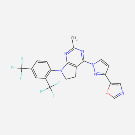 Cc1nc2c(c(-n3ccc(-c4cnco4)n3)n1)CCN2c1ccc(C(F)(F)F)cc1C(F)(F)F